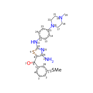 CSc1cccc(C(=O)c2sc(Nc3ccc(N4CCN(C)CC4)cc3)nc2N)c1